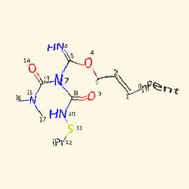 CCCCC/C=C/COC(=N)N(C(=O)NSC(C)C)C(=O)N(C)C